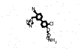 N#Cc1ccc(-c2ccc(OSOON)c(Cl)c2)cc1Cn1cncn1